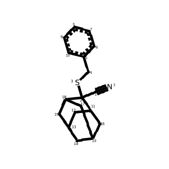 N#CC1(SCc2ccccc2)C2CC3CC(C2)CC1C3